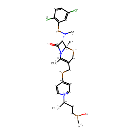 CC(=O)N(Sc1cc(Cl)ccc1Cl)[C@H]1C(=O)N2C(C(=O)O)=C(CSc3cc[n+](C(CC[S@+](C)[O-])C(=O)O)cc3)CS[C@H]12